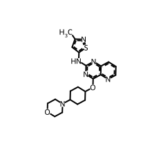 Cc1cc(Nc2nc(OC3CCC(N4CCOCC4)CC3)c3ncccc3n2)sn1